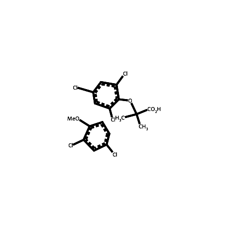 CC(C)(Oc1c(Cl)cc(Cl)cc1Cl)C(=O)O.COc1ccc(Cl)cc1Cl